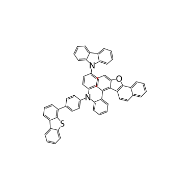 c1ccc(N(c2ccc(-c3cccc4c3sc3ccccc34)cc2)c2ccc(-n3c4ccccc4c4ccccc43)cc2)c(-c2cccc3oc4c5ccccc5ccc4c23)c1